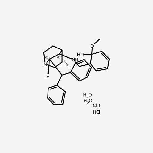 COC1(O)C=CC=CC1CN[C@@H]1C2CCN(CC2)[C@H]1C(c1ccccc1)c1ccccc1.Cl.Cl.O.O